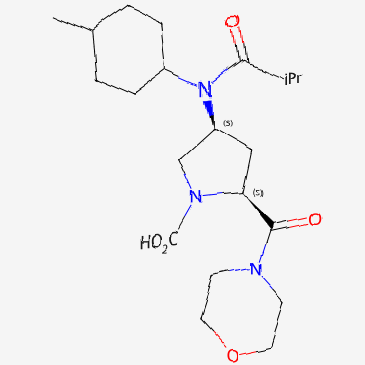 CC1CCC(N(C(=O)C(C)C)[C@H]2C[C@@H](C(=O)N3CCOCC3)N(C(=O)O)C2)CC1